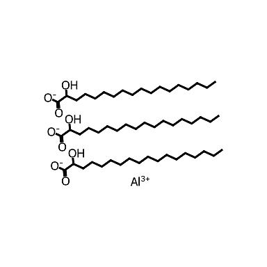 CCCCCCCCCCCCCCCCC(O)C(=O)[O-].CCCCCCCCCCCCCCCCC(O)C(=O)[O-].CCCCCCCCCCCCCCCCC(O)C(=O)[O-].[Al+3]